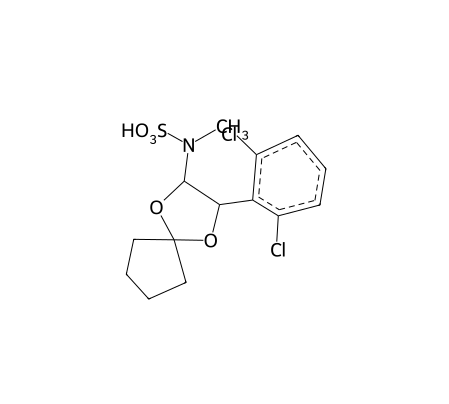 CN(C1OC2(CCCC2)OC1c1c(Cl)cccc1Cl)S(=O)(=O)O